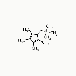 CC1=C(C)C(CS(C)(C)C)C(C)=C1C